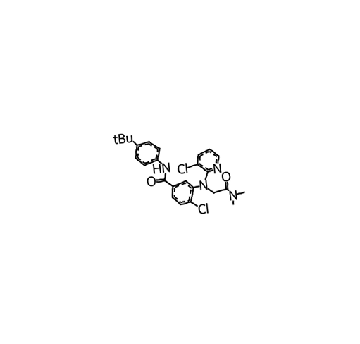 CN(C)C(=O)CN(c1cc(C(=O)Nc2ccc(C(C)(C)C)cc2)ccc1Cl)c1ncccc1Cl